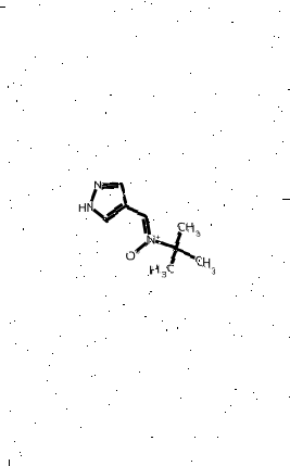 CC(C)(C)[N+]([O-])=Cc1cn[nH]c1